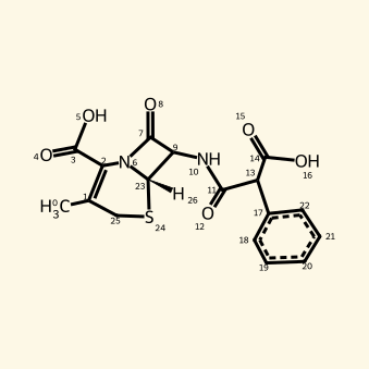 CC1=C(C(=O)O)N2C(=O)C(NC(=O)C(C(=O)O)c3ccccc3)[C@@H]2SC1